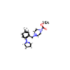 CC(C)(C)OC(=O)N1CCN(Cc2cc(C(F)(F)F)ccc2N2CCCC2)CC1